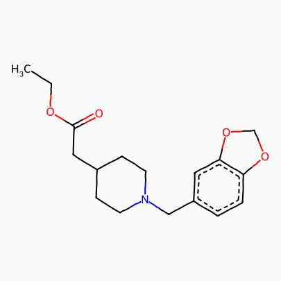 CCOC(=O)CC1CCN(Cc2ccc3c(c2)OCO3)CC1